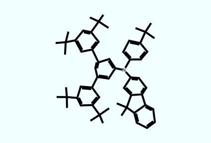 CC(C)(C)c1ccc(N(c2cc(-c3cc(C(C)(C)C)cc(C(C)(C)C)c3)cc(-c3cc(C(C)(C)C)cc(C(C)(C)C)c3)c2)c2ccc3c(c2)C(C)(C)c2ccccc2-3)cc1